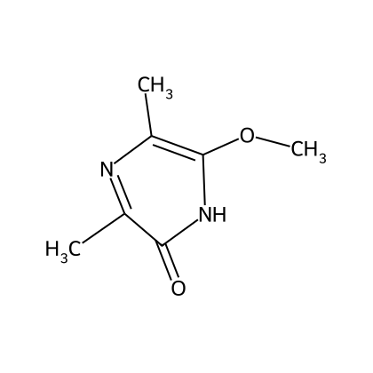 COc1[nH]c(=O)c(C)nc1C